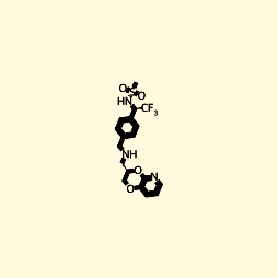 CS(=O)(=O)N[C@@H](c1ccc(CNC[C@H]2COc3cccnc3O2)cc1)C(F)(F)F